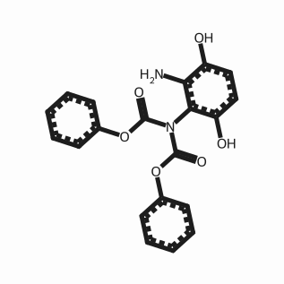 Nc1c(O)ccc(O)c1N(C(=O)Oc1ccccc1)C(=O)Oc1ccccc1